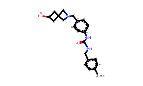 COc1ccc(CNC(=O)Nc2ccc(CN3CC4(CC(O)C4)C3)cc2)cc1